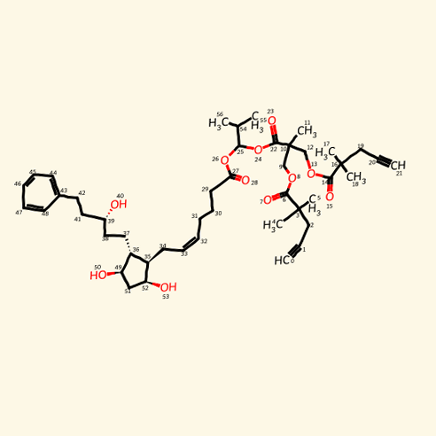 C#CCC(C)(C)C(=O)OCC(C)(COC(=O)C(C)(C)CC#C)C(=O)OC(OC(=O)CCC/C=C\C[C@@H]1[C@@H](CC[C@@H](O)CCc2ccccc2)[C@H](O)C[C@@H]1O)C(C)C